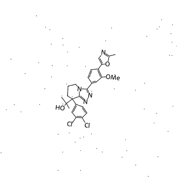 COc1cc(-c2nnc3n2CCCC3(c2ccc(Cl)c(Cl)c2)C(C)(C)O)ccc1-c1cnc(C)o1